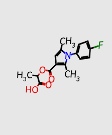 Cc1cc(C(=O)OC(C)C(=O)O)c(C)n1-c1ccc(F)cc1